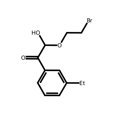 CCc1cccc(C(=O)C(O)OCCBr)c1